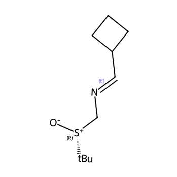 CC(C)(C)[S@+]([O-])C/N=C/C1CCC1